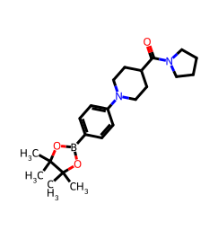 CC1(C)OB(c2ccc(N3CCC(C(=O)N4CCCC4)CC3)cc2)OC1(C)C